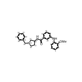 COc1ccccc1Nc1cccc(C(=O)NC2CCN(Cc3ccccc3)C2)c1